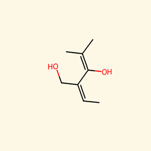 C/C=C(/CO)C(O)=C(C)C